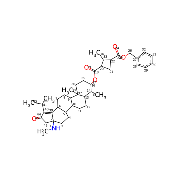 CNC12CCC3C(CCC4C3CCC3C(C)C(OC(=O)C5CC(C(=O)OCc6ccccc6)C5C)CCC34C)C1=C(C(C)C)C(=O)C2